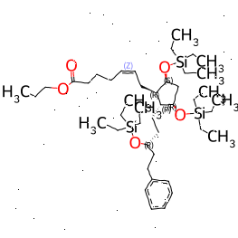 CCCOC(=O)CCC/C=C\C[C@@H]1[C@@H](CC[C@H](CCc2ccccc2)O[Si](CC)(CC)CC)[C@H](O[Si](CC)(CC)CC)C[C@@H]1O[Si](CC)(CC)CC